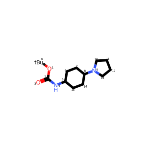 CC(C)(C)OC(=O)NC1CCC(N2CCCC2)CC1